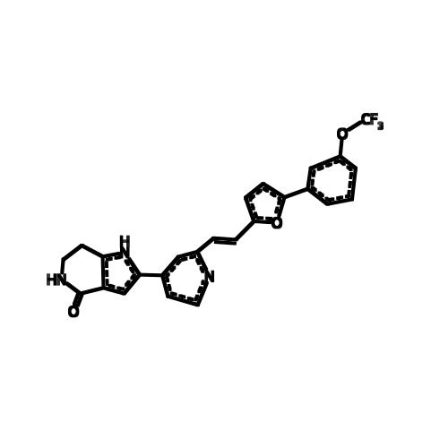 O=C1NCCc2[nH]c(-c3ccnc(C=Cc4ccc(-c5cccc(OC(F)(F)F)c5)o4)c3)cc21